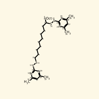 CCCCCCCCC(CCCCCCCCCSSc1nc(C)cc(C)n1)SSc1nc(C)cc(C)n1